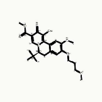 COCCCOc1cc2c(cc1OC)-c1c(F)c(=O)c(C(=O)OC)cn1[C@H](C(C)(C)C)C2